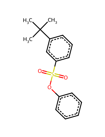 CC(C)(C)c1cccc(S(=O)(=O)Oc2ccccc2)c1